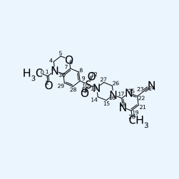 CC(=O)N1CCOc2cc(S(=O)(=O)N3CCN(c4nc(C)cc(C#N)n4)CC3)ccc21